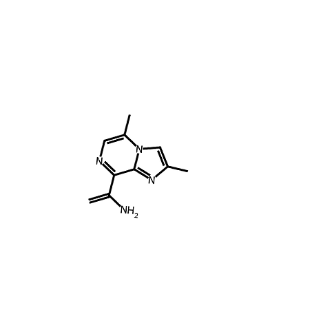 C=C(N)c1ncc(C)n2cc(C)nc12